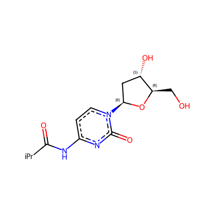 CC(C)C(=O)Nc1ccn([C@H]2C[C@H](O)[C@@H](CO)O2)c(=O)n1